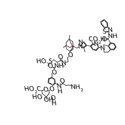 Cc1c(-c2ccc(N3CCc4cccc(C(=O)Nc5nc6ccccc6s5)c4C3)nc2C(=O)O)cnn1CC12CC3(C)CC(C)(C1)CC(OCCN(C)C(=O)C(CS(=O)(=O)O)NC(=O)OCc1ccc(O[C@@H]4O[C@H](C(=O)O)[C@@H](O)[C@H](O)[C@H]4O)c(NC(=O)CCN)c1)(C3)C2